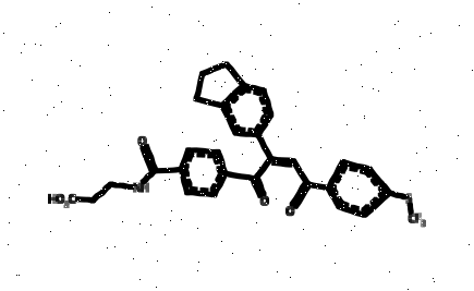 O=C(O)CCNC(=O)c1ccc(C(=O)/C(=C\C(=O)c2ccc(SC(F)(F)F)cc2)c2ccc3c(c2)CCC3)cc1